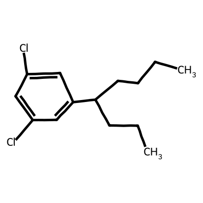 CCCCC(CCC)c1cc(Cl)cc(Cl)c1